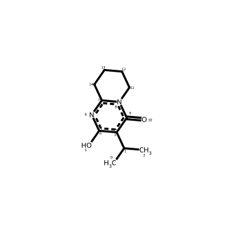 CC(C)c1c(O)nc2n(c1=O)CCCC2